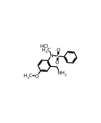 COc1ccc(N(C)S(=O)(=O)c2ccccc2)c(CN)c1.Cl